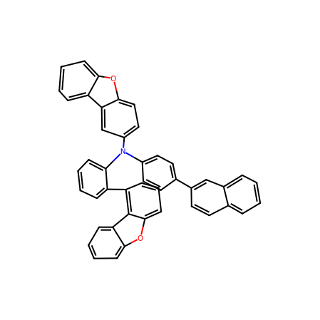 c1ccc(N(c2ccc(-c3ccc4ccccc4c3)cc2)c2ccc3oc4ccccc4c3c2)c(-c2cccc3oc4ccccc4c23)c1